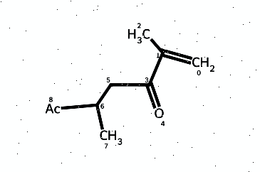 C=C(C)C(=O)CC(C)C(C)=O